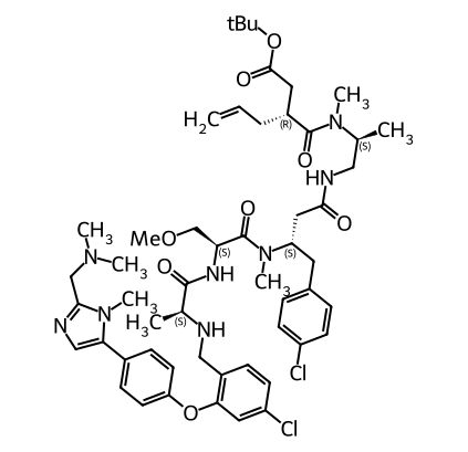 C=CC[C@H](CC(=O)OC(C)(C)C)C(=O)N(C)[C@@H](C)CNC(=O)C[C@H](Cc1ccc(Cl)cc1)N(C)C(=O)[C@H](COC)NC(=O)[C@H](C)NCc1ccc(Cl)cc1Oc1ccc(-c2cnc(CN(C)C)n2C)cc1